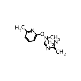 C=C(N)/N=C\N(C)Oc1cccc(C)n1